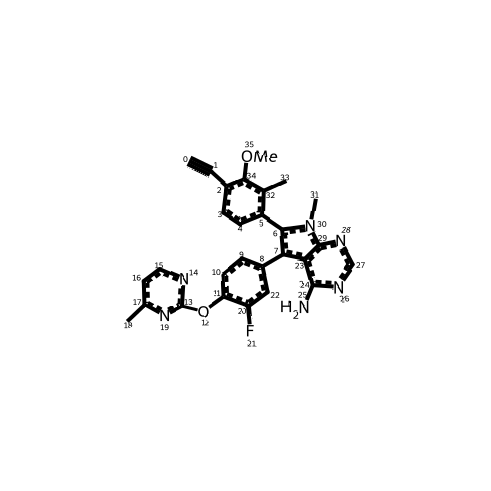 C#Cc1ccc(-c2c(-c3ccc(Oc4nccc(C)n4)c(F)c3)c3c(N)ncnc3n2C)c(C)c1OC